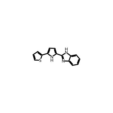 c1csc(-c2ccc(-c3nc4ccccc4[nH]3)[nH]2)c1